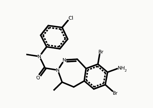 CC1Cc2cc(Br)c(N)c(Br)c2C=NN1C(=O)N(C)c1ccc(Cl)cc1